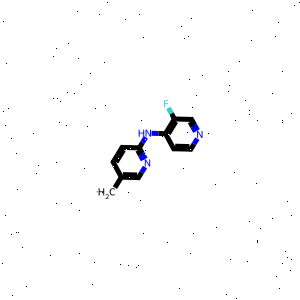 [CH2]c1ccc(Nc2ccncc2F)nc1